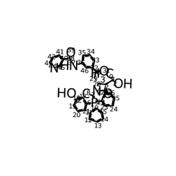 C[C@@H](O)[C@H]1C(=O)N(C(C(=O)O)=P(c2ccccc2)(c2ccccc2)c2ccccc2)[C@@H]1CC(=O)c1cccc(NC(=O)c2cccnc2)c1